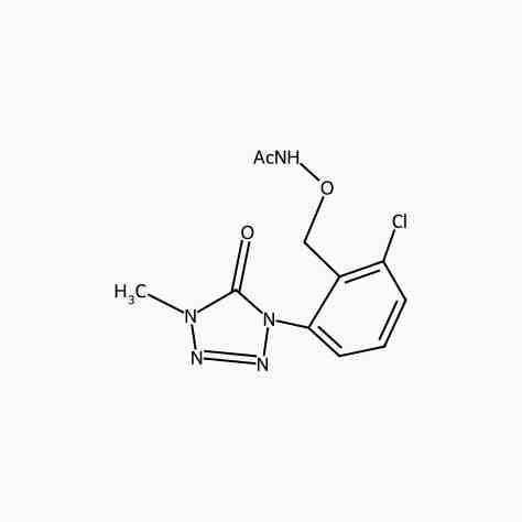 CC(=O)NOCc1c(Cl)cccc1-n1nnn(C)c1=O